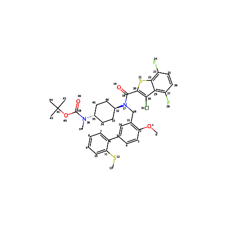 COc1ccc(-c2ccccc2SC)cc1CN(C(=O)c1sc2c(F)ccc(F)c2c1Cl)[C@H]1CC[C@H](N(C)C(=O)OC(C)(C)C)CC1